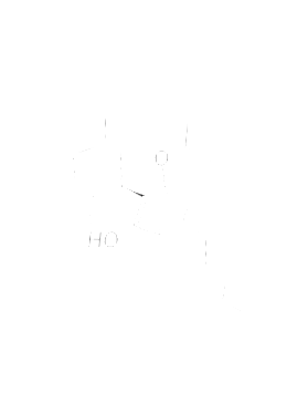 CCCCCc1cc(O)c([C@@H]2C=C(C)CC[C@H]2C)c(OC(C)C)c1